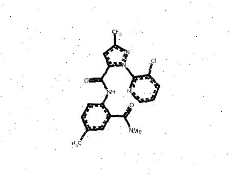 CNC(=O)c1cc(C)ccc1NC(=O)c1cc(C(F)(F)F)nn1-c1ncccc1Cl